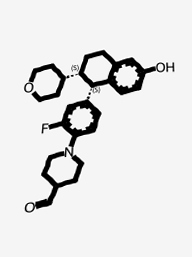 O=CC1CCN(c2ccc([C@H]3c4ccc(O)cc4CC[C@H]3C3CCOCC3)cc2F)CC1